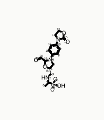 CC(NC[C@H]1CN(c2ccc(N3CCOC3=O)cc2)C(C=O)O1)S(=O)(=O)O